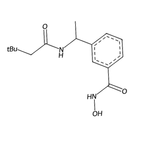 CC(NC(=O)CC(C)(C)C)c1cccc(C(=O)NO)c1